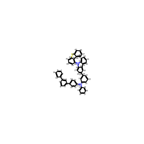 c1ccc(-c2cccc(-c3ccc(N(c4ccccc4)c4cccc(-c5ccc6c(c5)c5ccccc5n6-c5cccc6sc7ccccc7c56)c4)cc3)c2)cc1